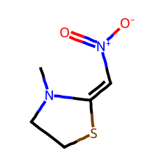 CN1CCS/C1=C/[N+](=O)[O-]